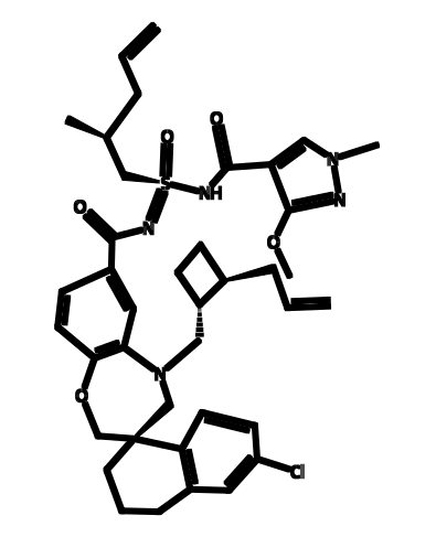 C=CC[C@H](C)C[S@](=O)(=NC(=O)c1ccc2c(c1)N(C[C@@H]1CC[C@H]1CC=C)C[C@@]1(CCCc3cc(Cl)ccc31)CO2)NC(=O)c1cn(C)nc1OC